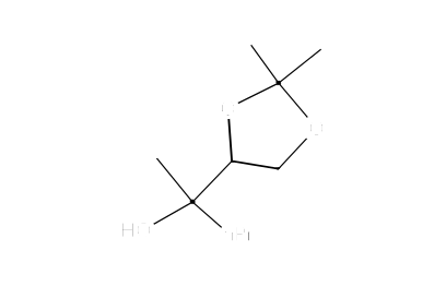 CCCC(C)(O)C1COC(C)(C)O1